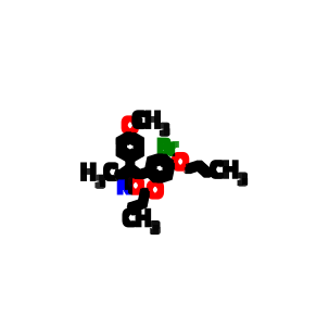 CCCCOc1cc(OCCCC)c(-c2onc(C)c2-c2ccc(OC)cc2)cc1Br